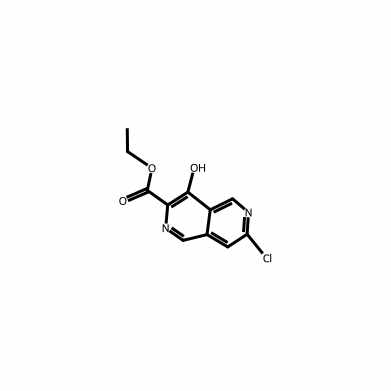 CCOC(=O)c1ncc2cc(Cl)ncc2c1O